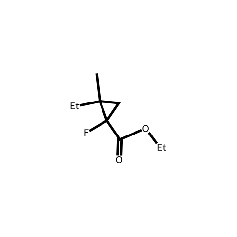 CCOC(=O)C1(F)CC1(C)CC